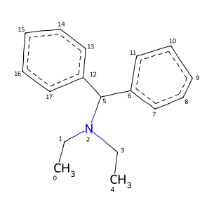 CCN(CC)C(c1ccccc1)c1ccccc1